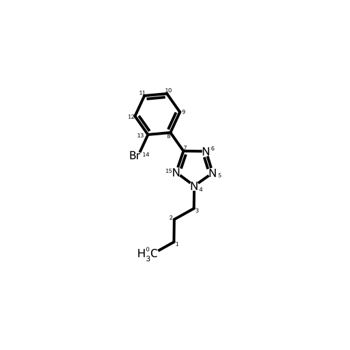 CCCCn1nnc(-c2ccccc2Br)n1